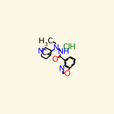 CCN(NC(=O)c1cccc2ocnc12)C1CN2CCC1CC2.Cl